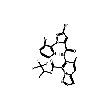 Cc1cc2ccnn2c(C(=O)NC(C)C(F)(F)F)c1NC(=O)c1cc(Br)nn1-c1ncccc1Cl